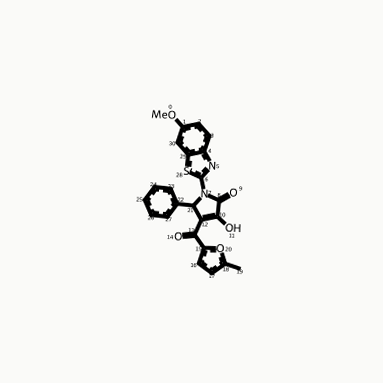 COc1ccc2nc(N3C(=O)C(O)=C(C(=O)c4ccc(C)o4)C3c3ccccc3)sc2c1